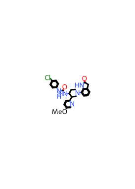 COc1ccc(C2CN(c3cccc4c3NC(=O)C4)CCC2NC(=O)Nc2ccc(Cl)cc2)nc1